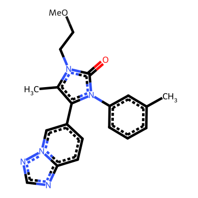 COCCn1c(C)c(-c2ccc3ncnn3c2)n(-c2cccc(C)c2)c1=O